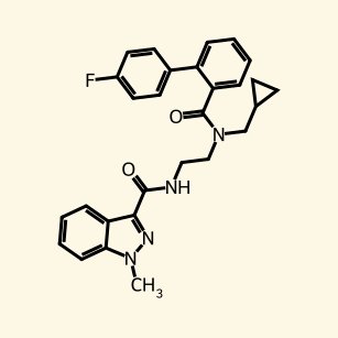 Cn1nc(C(=O)NCCN(CC2CC2)C(=O)c2ccccc2-c2ccc(F)cc2)c2ccccc21